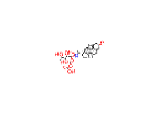 C/C(=N\OC(OCOC(=O)O)[C@H](O)[C@@H](O)[C@@H](C)O)[C@H]1CC[C@H]2[C@@H]3CCC4=CC(=O)CC[C@]4(C)[C@H]3CC[C@]12C